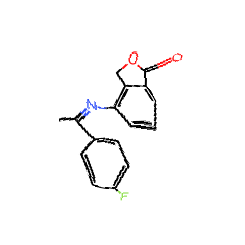 C/C(=N/c1cccc2c1COC2=O)c1ccc(F)cc1